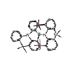 CC(C)(C)c1cccc2c1N(B1c3ccccc3N3c4ccccc4C(C)(C)c4cccc1c43)c1c(C(C)(C)C)cccc1[Si]2(C)C